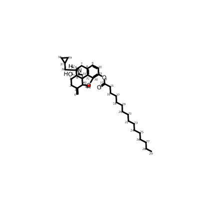 C=C1CC[C@@]2(O)[C@H]3Cc4ccc(OC(=O)CCCCCCCCCCCCCCC)c5c4[C@@]2(CCN3CC2CC2)[C@H]1O5